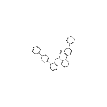 C#CC(Cc1ccccc1-c1ccc(-c2ccccn2)cc1)c1ccccc1-c1ccc(-c2ccccn2)cc1